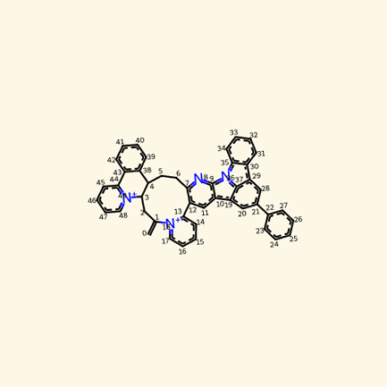 C=C1CC2C(CCc3nc4c(cc3-c3cccc[n+]31)c1cc(-c3ccccc3)cc3c5ccccc5n4c31)c1ccccc1-c1cccc[n+]12